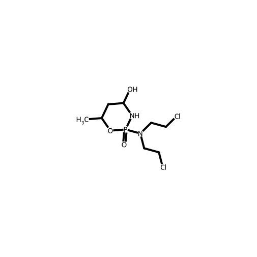 CC1CC(O)NP(=O)(N(CCCl)CCCl)O1